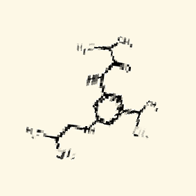 CC(C)CNc1cc(NC(=O)C(C)C)cc(C(C)C)c1